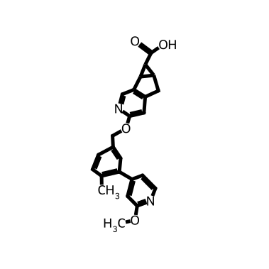 COc1cc(-c2cc(COc3cc4c(cn3)C3C(C4)C3C(=O)O)ccc2C)ccn1